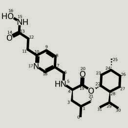 CC(C)C[C@@H](NCc1ccc(CCC(=O)NO)nc1)C(=O)O[C@@H]1C[C@H](C)CC[C@H]1C(C)C